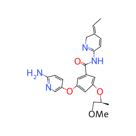 C/C=C1\C=CC(NC(=O)c2cc(Oc3ccc(N)nc3)cc(O[C@@H](C)COC)c2)=NC1